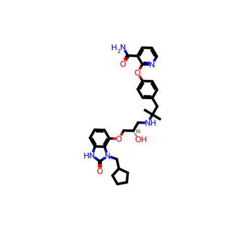 CC(C)(Cc1ccc(Oc2ncccc2C(N)=O)cc1)NC[C@H](O)COc1cccc2[nH]c(=O)n(CC3CCCC3)c12